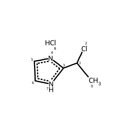 CC(Cl)c1ncc[nH]1.Cl